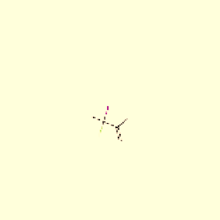 C=C(C)C(C)(F)I